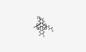 CCCCOc1c(OCCCC)c(OC(=O)CCCC)c2ccc(Cl)cc2c1OC(C)=O